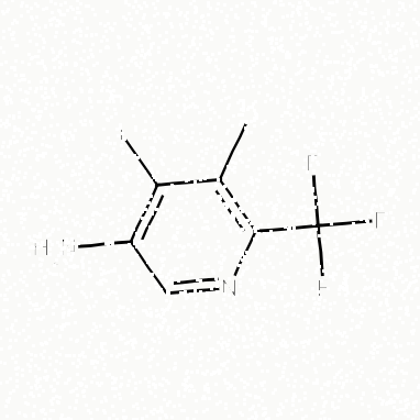 Cc1c(C(F)(F)F)ncc(N)c1I